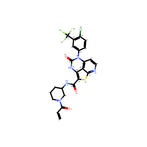 C=CC(=O)N1CCCC(NC(=O)c2sc3nccc4c3c2NC(=O)N4c2ccc(Cl)c(C(F)(F)F)c2)C1